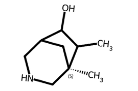 CC1C(O)C2CNC[C@@]1(C)C2